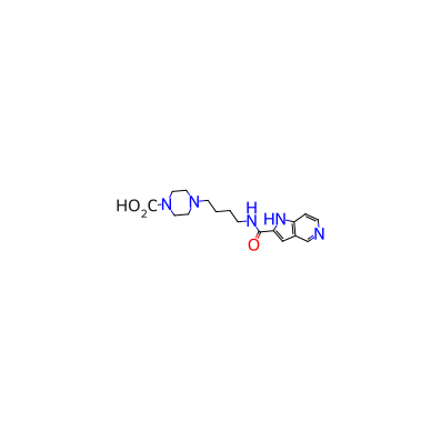 O=C(NCCCCN1CCN(C(=O)O)CC1)c1cc2cnccc2[nH]1